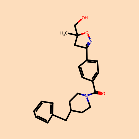 CC1(CO)CC(c2ccc(C(=O)N3CCC(Cc4ccccc4)CC3)cc2)=NO1